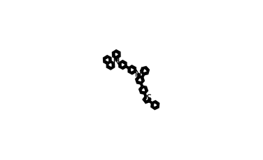 c1ccc(-c2ccc(-c3ccc(-c4ccc5c(c4)c4ccccc4n5-c4ccc(-c5ccc(N(c6ccccc6)c6cccc7ccccc67)cc5)cc4)cc3)s2)cc1